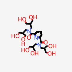 O=C(c1cccc(C(=O)N(CC(CO)CO)CC(CO)CO)n1)N(CC(CO)CO)CC(CO)CO